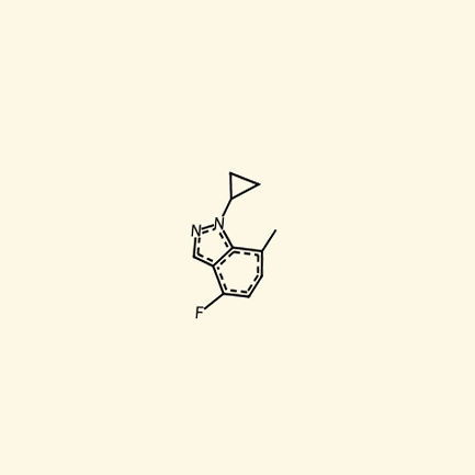 Cc1ccc(F)c2cnn(C3CC3)c12